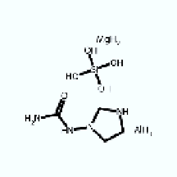 NC(=O)NN1CCNC1.O[Si](O)(O)O.[AlH3].[MgH2]